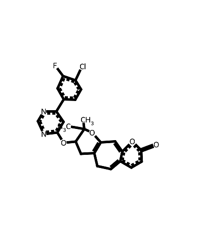 CC1(C)OC2=C(CC=c3ccc(=O)oc3=C2)CC1Oc1cc(-c2ccc(Cl)c(F)c2)ncn1